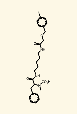 CN(C(=O)O)C(Cc1ccccc1)C(=O)NCCCCCNC(=O)COCc1ccc(F)cc1